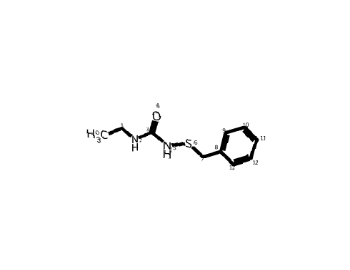 CCNC(=O)NSCc1ccccc1